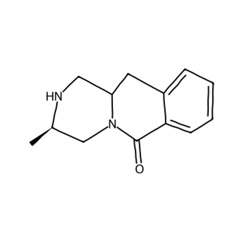 C[C@@H]1CN2C(=O)c3ccccc3CC2CN1